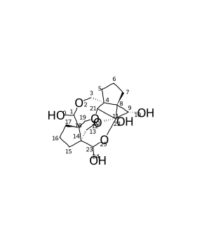 OC1OC[C@]23CCC[C@]24[C@H](O)[C@]42OC[C@@]4(CCC[C@]14COC3O)C(O)O2